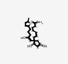 Cc1ccc(CCC/C(O)=C\C2(C/C=C\CCCC(N)=O)C[C@@H](O)C[C@H]2O)s1